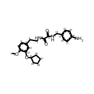 COc1ccc(CCNC(=O)C(=O)NCc2ccc(N)cc2)cc1OC1CCCC1